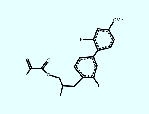 C=C(C)C(=O)OCC(C)Cc1ccc(-c2ccc(OC)cc2F)cc1F